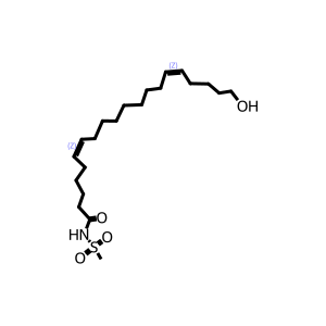 CS(=O)(=O)NC(=O)CCCC/C=C\CCCCCCC/C=C\CCCCO